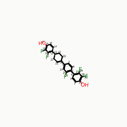 Oc1ccc(-c2ccc(C3CCC(c4ccc(O)c(F)c4F)CC3)cc2F)c(F)c1F